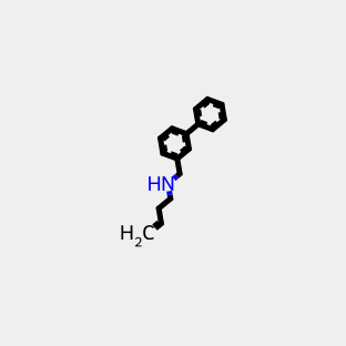 C=CCCNCc1cccc(-c2ccccc2)c1